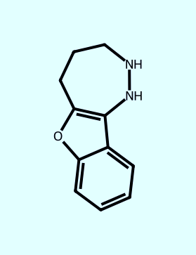 c1ccc2c3c(oc2c1)CCCNN3